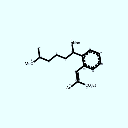 CCCCCCCCCC(CCCC(C)OC)c1ccccc1C=C(C(C)=O)C(=O)OCC